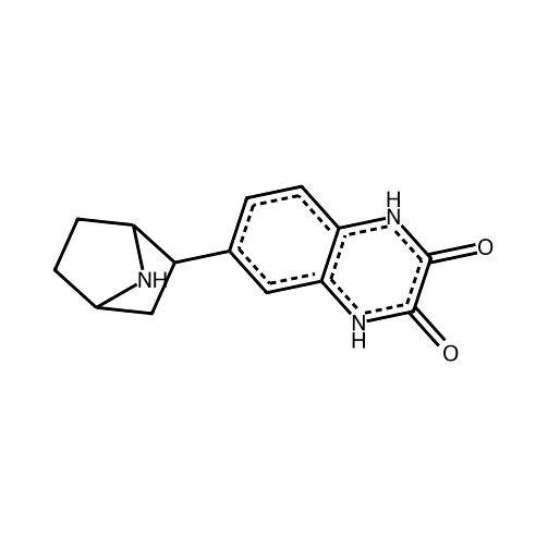 O=c1[nH]c2ccc(C3CC4CCC3N4)cc2[nH]c1=O